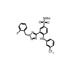 CNS(=O)(=O)c1ccc(Nc2cccc(C(F)(F)F)c2)c(-c2nnn(Cc3ccccc3F)n2)c1